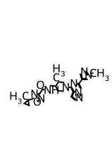 CC1CN(c2nc(-c3cnn(C)c3)cn3nccc23)CCC1CNC(=O)c1noc(C2(C)CC2)n1